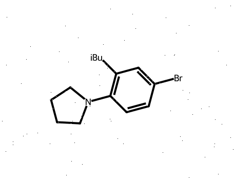 CCC(C)c1cc(Br)ccc1N1CCCC1